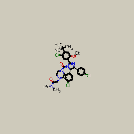 CCOc1cc(C(C)(C)C#N)c(Cl)cc1C1=N[C@@H](c2ccc(Cl)cc2)[C@@H](c2ccc(Cl)cc2)N1C(=O)N1CCN(CC(=O)N(C)C(C)C)CC1